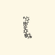 O[C@H](CNCc1cccc(F)c1)COc1ccc(-c2noc3cc(F)ccc23)cc1